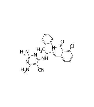 CC(Nc1nc(N)nc(N)c1C#N)c1cc2cccc(Cl)c2c(=O)n1-c1ccccc1